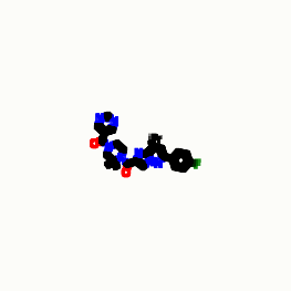 CC(C)c1cc(-c2ccc(F)cc2)nn2cc(C(=O)N3CCN(C(=O)c4cncnc4)CC3(C)C)nc12